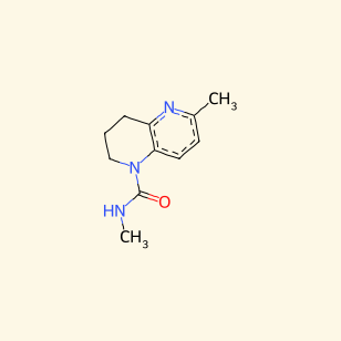 CNC(=O)N1CCCc2nc(C)ccc21